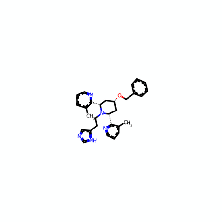 Cc1cccnc1[C@H]1C[C@@H](OCc2ccccc2)C[C@@H](c2ncccc2C)N1CCc1cnc[nH]1